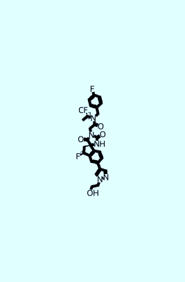 C[C@@H](N(Cc1ccc(F)cc1)C(=O)CN1C(=O)N[C@@]2(C[C@H](F)c3cc(-c4cnn(CCO)c4)ccc32)C1=O)C(F)(F)F